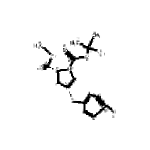 COC(=O)[C@H]1C[C@@H](Cc2ccc(Cl)cc2)CN1C(=O)OC(C)(C)C